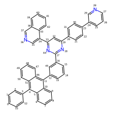 c1ccc(-c2c3ccccc3c(-c3cccc(-c4nc(-c5ccc(-c6cccnc6)cc5)cc(-c5cncc6ccccc56)n4)c3)c3ccccc23)cc1